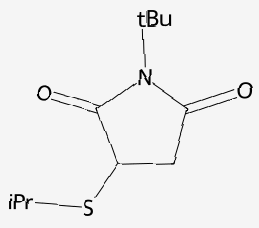 CC(C)SC1CC(=O)N(C(C)(C)C)C1=O